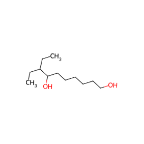 CCC(CC)C(O)CCCCCCO